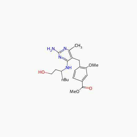 CCCCC(CCO)Nc1nc(N)nc(C)c1Cc1ccc(C(=O)OC)cc1OC